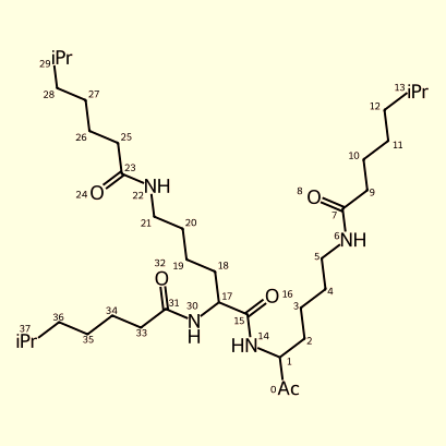 CC(=O)C(CCCCNC(=O)CCCCC(C)C)NC(=O)C(CCCCNC(=O)CCCCC(C)C)NC(=O)CCCCC(C)C